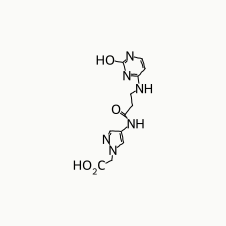 O=C(O)Cn1cc(NC(=O)CCNc2ccnc(O)n2)cn1